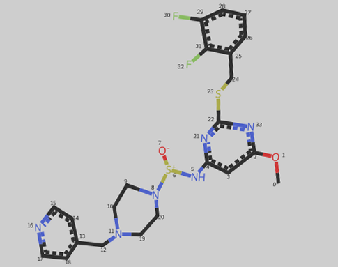 COc1cc(N[S+]([O-])N2CCN(Cc3ccncc3)CC2)nc(SCc2cccc(F)c2F)n1